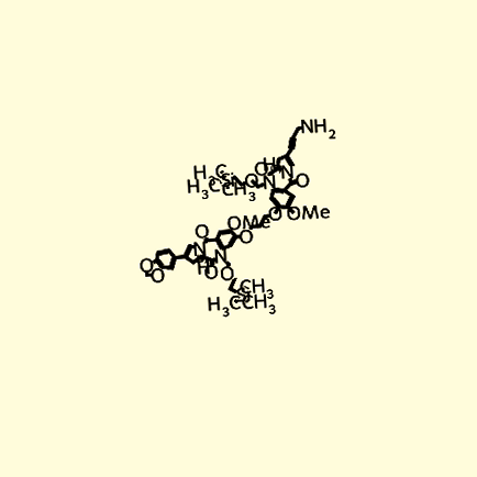 COc1cc2c(cc1OCCCOc1cc3c(cc1OC)C(=O)N1C=C(c4ccc5c(c4)OCO5)C[C@H]1C(=O)N3COCC[Si](C)(C)C)N(COCC[Si](C)(C)C)C(=O)[C@@H]1CC(C#CCN)=CN1C2=O